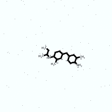 CCC(C)NC1CCC(CC2CCC(N)C(C)C2)CC1C